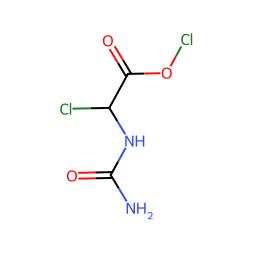 NC(=O)NC(Cl)C(=O)OCl